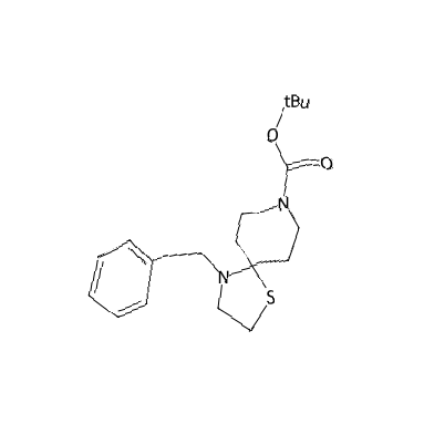 CC(C)(C)OC(=O)N1CCC2(CC1)SCCN2Cc1ccccc1